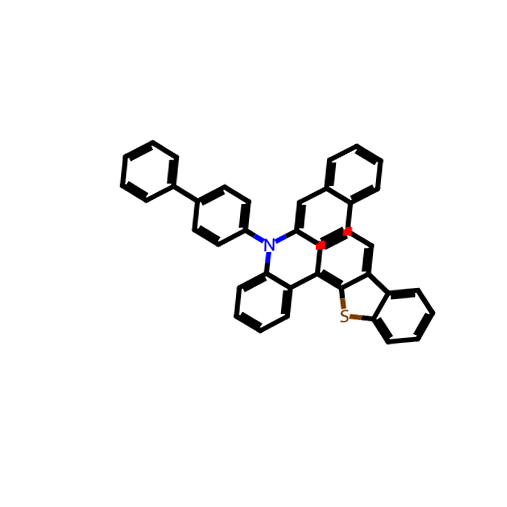 c1ccc(-c2ccc(N(c3ccc4ccccc4c3)c3ccccc3-c3cccc4c3sc3ccccc34)cc2)cc1